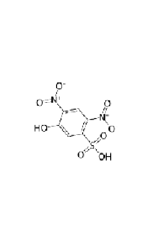 O=[N+]([O-])c1cc([N+](=O)[O-])c(S(=O)(=O)O)cc1O